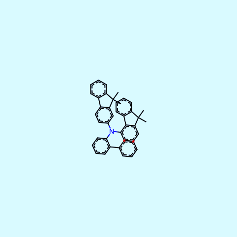 CC1(C)c2ccccc2-c2ccc(N(c3ccccc3-c3ccccc3)c3cccc4c3-c3ccccc3C4(C)C)cc21